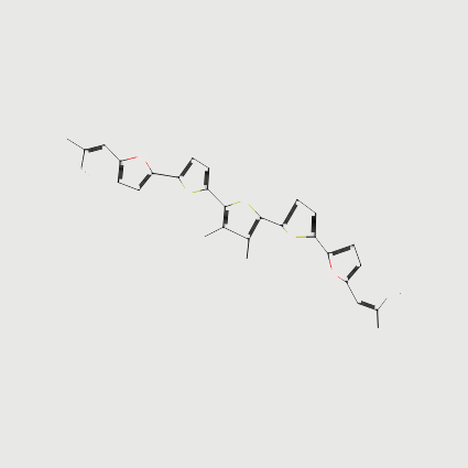 C/C(C#N)=C/c1ccc(-c2ccc(-c3sc(-c4ccc(-c5ccc(/C=C(/C)C#N)o5)s4)c(C)c3C)s2)o1